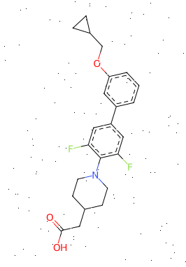 O=C(O)CC1CCN(c2c(F)cc(-c3cccc(OCC4CC4)c3)cc2F)CC1